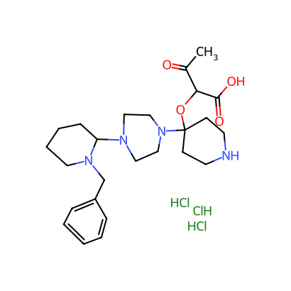 CC(=O)C(OC1(N2CCN(C3CCCCN3Cc3ccccc3)CC2)CCNCC1)C(=O)O.Cl.Cl.Cl